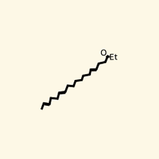 C/C=C/CC/C=C/CCCCCC/C=C/CCC(=O)CC